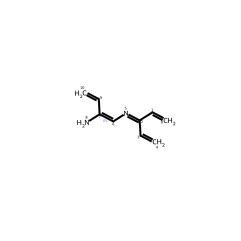 C=CC(C=C)=N/C=C(/N)C=C